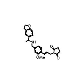 COc1cc(CNC(C)c2ccc3c(c2)CCO3)ccc1/C=C/CN1C(=O)CCC1=O